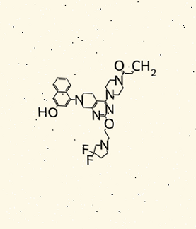 C=CC(=O)N1CCN(c2nc(OCCN3CCC(F)(F)C3)nc3c2CCN(c2cc(O)cc4ccccc24)C3)CC1